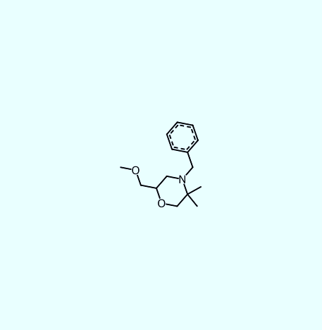 COCC1CN(Cc2ccccc2)C(C)(C)CO1